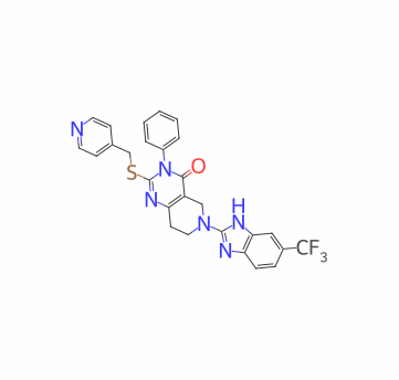 O=c1c2c(nc(SCc3ccncc3)n1-c1ccccc1)CCN(c1nc3ccc(C(F)(F)F)cc3[nH]1)C2